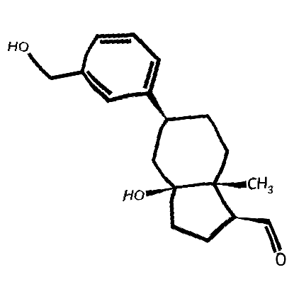 C[C@]12CC[C@H](c3cccc(CO)c3)C[C@@]1(O)CC[C@@H]2C=O